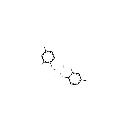 Cc1ccc([SiH2]O[SiH2]c2ccc(C)cc2C)c(C)c1